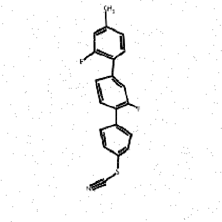 Cc1ccc(-c2ccc(-c3ccc(SC#N)cc3)c(F)c2)c(F)c1